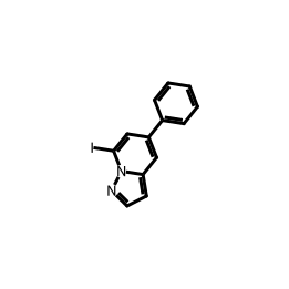 Ic1cc(-c2ccccc2)cc2ccnn12